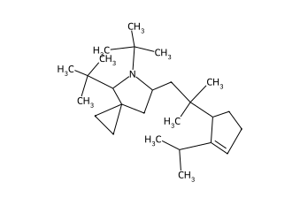 CC(C)C1=CCCC1C(C)(C)CC1CC2(CC2)C(C(C)(C)C)N1C(C)(C)C